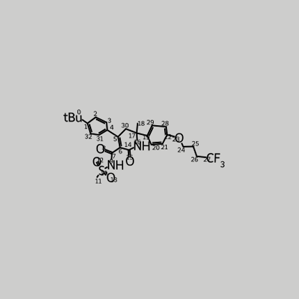 CC(C)(C)c1ccc(C2=C(C(=O)NS(C)(=O)=O)C(=O)NC(C)(c3ccc(OCCCC(F)(F)F)cc3)C2)cc1